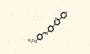 COc1ccc(C=Nc2ccc(-c3ccc(-c4ccncc4)nc3)cc2)cc1